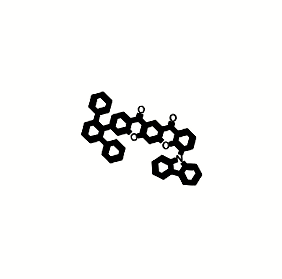 O=c1c2ccc(-c3c(-c4ccccc4)cccc3-c3ccccc3)cc2oc2cc3oc4c(-n5c6ccccc6c6ccccc65)cccc4c(=O)c3cc12